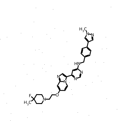 Cn1cc(-c2ccc(CNc3cc(-c4cnc5cc(OCCN6CCC(C)(F)CC6)ccn45)ncn3)cc2)cn1